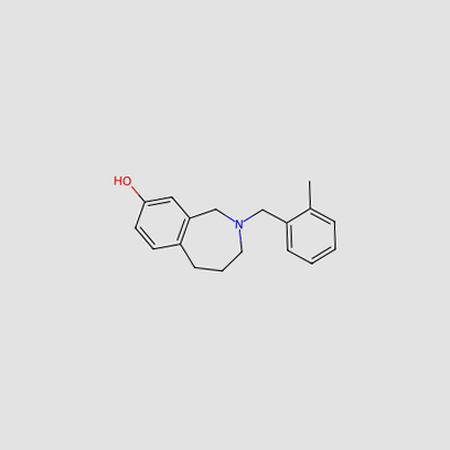 Cc1ccccc1CN1CCCc2ccc(O)cc2C1